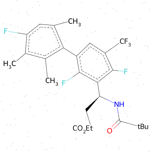 CCOC(=O)C[C@H](NC(=O)C(C)(C)C)c1c(F)c(-c2c(C)cc(F)c(C)c2C)cc(C(F)(F)F)c1F